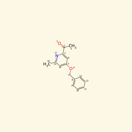 CC(=O)c1cc(OCc2ccccc2)cc(C)n1